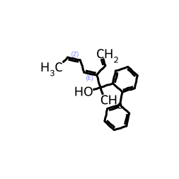 C=C/C(=C\C=C/C)C(C)(O)c1ccccc1-c1ccccc1